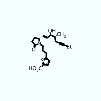 CCC#CC[C@@H](C)[C@H](O)/C=C/[C@H]1CCC(=O)N1CCCc1ccc(C(=O)O)s1